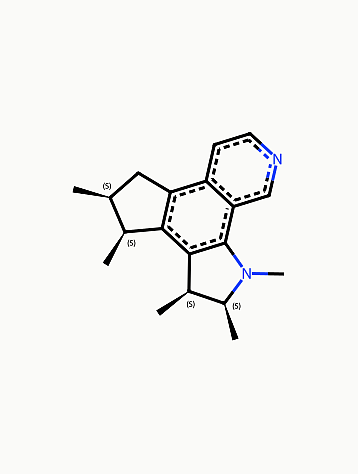 C[C@@H]1c2c3c(c4cnccc4c2C[C@@H]1C)N(C)[C@@H](C)[C@H]3C